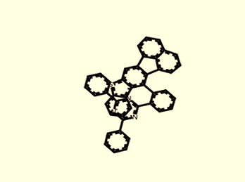 c1ccc(-c2nc(-c3ccccc3)nc(-c3ccccc3-c3c4c(cc5sc6ccccc6c35)-c3cccc5cccc-4c35)n2)cc1